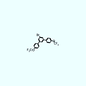 FC(F)(F)Oc1ccc(-c2cc(Br)cc(-c3ccc(OC(F)(F)F)cc3)c2)cc1